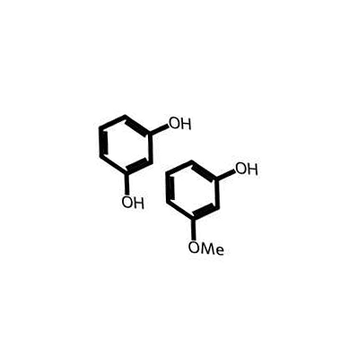 COc1cccc(O)c1.Oc1cccc(O)c1